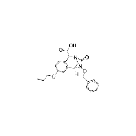 C=CCOc1ccc2c(c1)[C@H]1CN(C(=O)N1OCc1ccccc1)C2C(=O)O